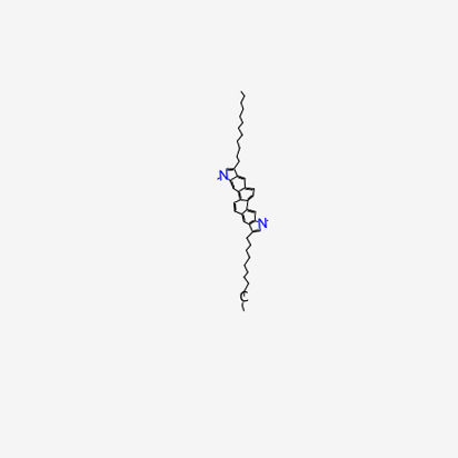 CCCCCCCCCCCCc1cn(C)c2cc3c(ccc4c5cc6c(cc5ccc34)c(CCCCCCCCCCCC)cn6C)cc12